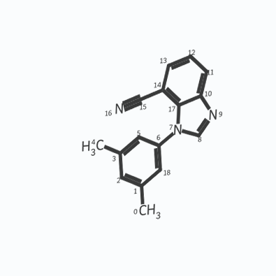 Cc1cc(C)cc(-n2cnc3cccc(C#N)c32)c1